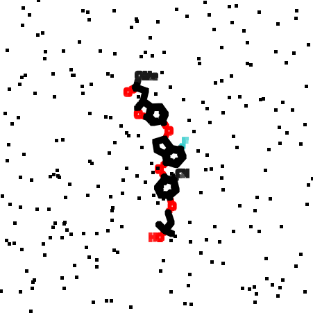 COC(=O)CC1COc2cc(O[C@@H]3CCc4c(Oc5ccc(OCCC(C)(C)O)cc5C#N)ccc(F)c43)ccc21